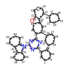 c1ccc(-c2nc(-c3cc4oc5cccc(-c6ccccc6)c5c4cc3-c3ccccc3)nc(-n3c4ccccc4c4ccccc43)n2)cc1